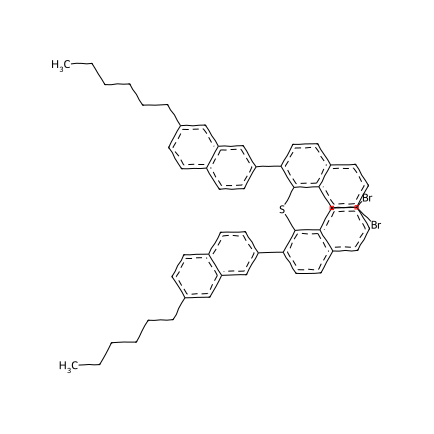 CCCCCCc1ccc2ccc(-c3ccc4ccc(Br)cc4c3Sc3c(-c4ccc5ccc(CCCCCC)cc5c4)ccc4ccc(Br)cc34)cc2c1